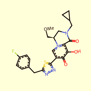 COC[C@H]1CN(CC2CC2)C(=O)c2c(O)c(=O)c(-c3nnc(Cc4ccc(F)cc4)s3)cn21